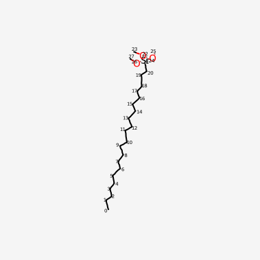 CCCCCCCCCCCCCCCCCCCCC[Si](OC)(OC)OC